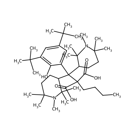 CCCCC(C(=O)O)(C(=O)O)C(c1cc(C(C)(C)C)cc(C(C)(C)C)c1O)(C1CCC(C)(C)N(C)C1(C)C)C1CCC(C)(C)N(C)C1(C)C